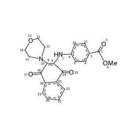 COC(=O)c1ccc(NC2=C(N3CCOCC3)C(=O)c3ccccc3C2=O)cc1